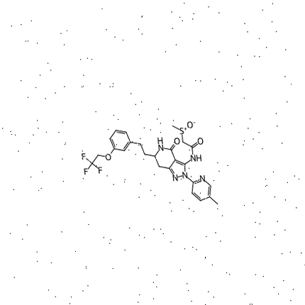 Cc1ccc(-n2nc3c(c2NC(=O)C[S+](C)[O-])C(=O)NC(CCc2cccc(OCC(F)(F)F)c2)C3)nc1